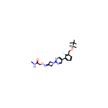 CNC(=O)CON=C1CN(c2ncc(-c3cccc(CO[Si](C)(C)C(C)(C)C)c3F)cn2)C1